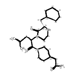 CC(C)CC(C(=O)N1CCC(CC(N)=O)CC1)N1CCN[C@@H](CC2CCCCC2)C1=O